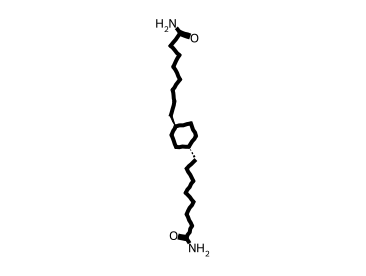 NC(=O)CCCCCCC[C@H]1CC[C@H](CCCCCCCC(N)=O)CC1